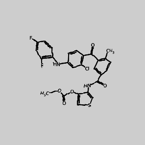 COC(=O)Oc1cscc1NC(=O)c1ccc(C)c(C(=O)c2ccc(Nc3ccc(F)cc3F)cc2Cl)c1